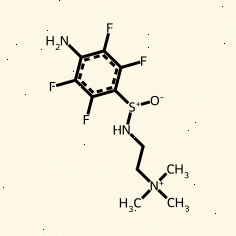 C[N+](C)(C)CCN[S+]([O-])c1c(F)c(F)c(N)c(F)c1F